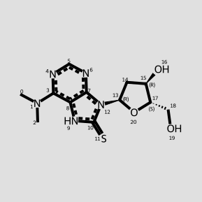 CN(C)c1ncnc2c1[nH]c(=S)n2[C@H]1C[C@@H](O)[C@H](CO)O1